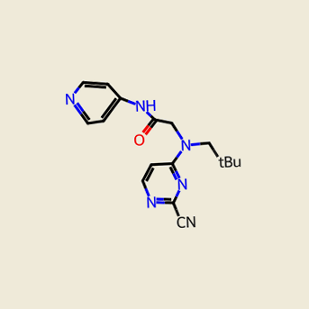 CC(C)(C)CN(CC(=O)Nc1ccncc1)c1ccnc(C#N)n1